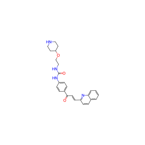 O=C(NCCOC1CCNCC1)Nc1ccc(C(=O)C=Cc2ccc3ccccc3n2)cc1